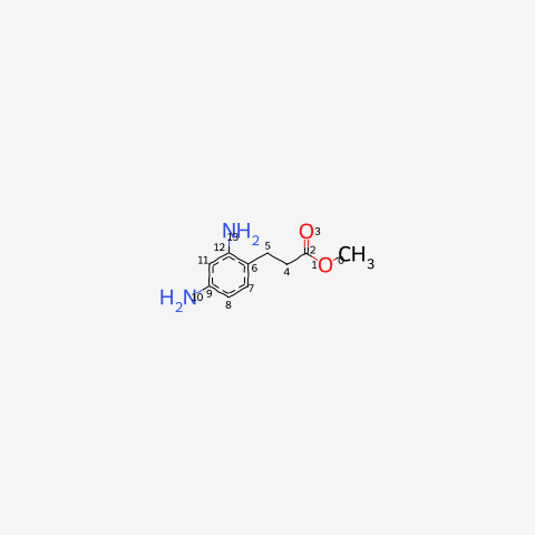 COC(=O)CCc1ccc(N)cc1N